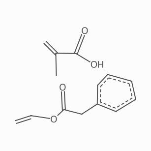 C=C(C)C(=O)O.C=COC(=O)Cc1ccccc1